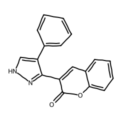 O=c1oc2ccccc2cc1-c1n[nH]cc1-c1ccccc1